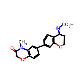 CN1C(=O)COc2ccc(-c3ccc4c(c3)OCCC4NC(=O)O)cc21